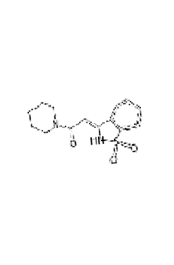 O=C(C=C1NS(=O)(=O)c2ccccc21)N1CCCCC1